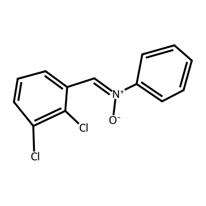 [O-][N+](=Cc1cccc(Cl)c1Cl)c1ccccc1